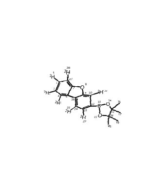 [2H]c1c([2H])c([2H])c2c(oc3c([2H])c(B4OC(C)(C)C(C)(C)O4)c([2H])c([2H])c32)c1[2H]